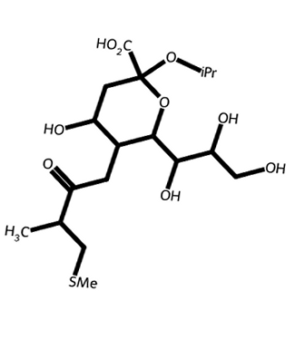 CSCC(C)C(=O)CC1C(O)CC(OC(C)C)(C(=O)O)OC1C(O)C(O)CO